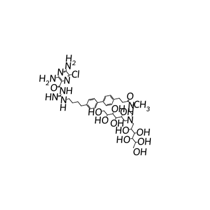 CN(CCN(CC(O)C(O)C(O)C(O)CO)CC(O)C(O)C(O)C(O)CO)C(=O)CCc1ccc(-c2ccc(CCCCNC(=N)NC(=O)c3nc(Cl)c(N)nc3N)cc2)cc1